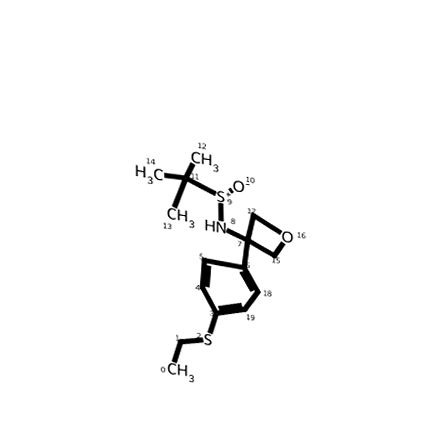 CCSc1ccc(C2(N[S+]([O-])C(C)(C)C)COC2)cc1